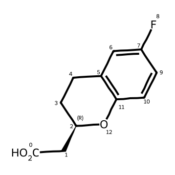 O=C(O)C[C@H]1CCc2cc(F)ccc2O1